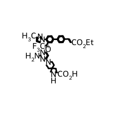 CCOC(=O)C=Cc1ccc(-c2ccc(-n3ccc(C)n3)c([C@@H](Oc3cc(N4CCC5(CC4)CNC(C(=O)O)C5)nc(N)n3)C(F)(F)F)c2)cc1